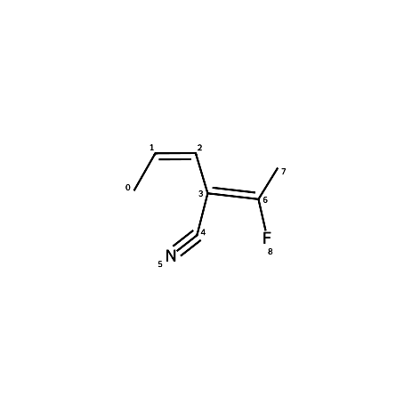 C/C=C\C(C#N)=C(/C)F